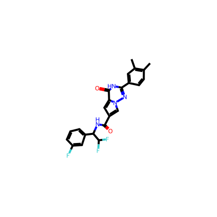 Cc1ccc(-c2nn3cc(C(=O)NC(c4cccc(F)c4)C(F)F)cc3c(=O)[nH]2)cc1C